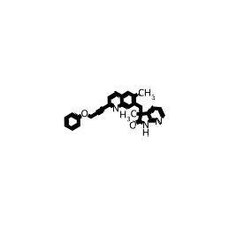 Cc1cc2ccc(C#CCOc3ccccc3)nc2cc1CC1(C)C(=O)Nc2ncccc21